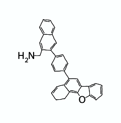 NCc1cc2ccccc2cc1-c1ccc(-c2cc3c(oc4ccccc43)c3c2C=CCC3)cc1